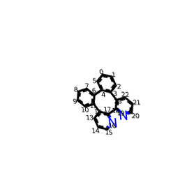 c1ccc2c(c1)-c1ccccc1-c1cccnc1-c1ncccc1-2